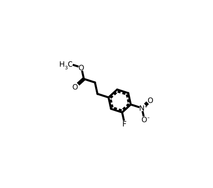 COC(=O)CCc1ccc([N+](=O)[O-])c(F)c1